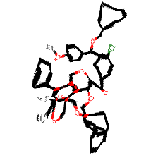 CCOc1ccc(C(OCc2ccccc2)c2cc(C(=O)[C@H](OCc3ccccc3)[C@@H](OCc3ccccc3)[C@H](OCc3ccccc3)C3(COCc4ccccc4)COC(C)(C)O3)ccc2Cl)cc1